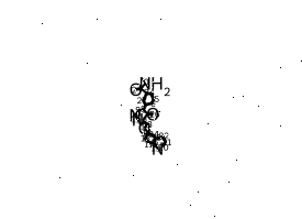 NC(=O)c1cccc(C2C=NN=C(COc3ccc4ncccc4c3)C2=O)c1